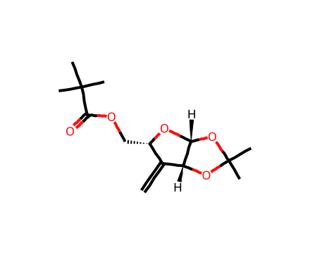 C=C1[C@H](COC(=O)C(C)(C)C)O[C@@H]2OC(C)(C)O[C@H]12